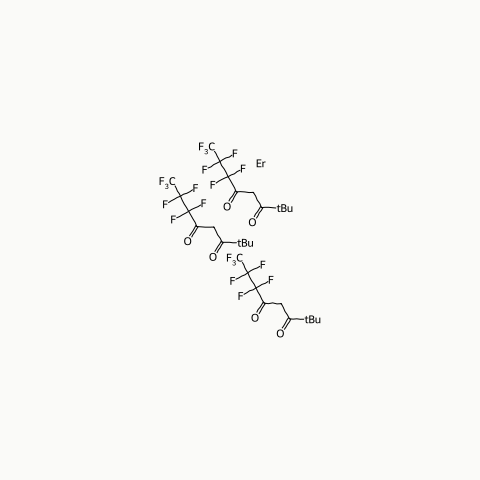 CC(C)(C)C(=O)CC(=O)C(F)(F)C(F)(F)C(F)(F)F.CC(C)(C)C(=O)CC(=O)C(F)(F)C(F)(F)C(F)(F)F.CC(C)(C)C(=O)CC(=O)C(F)(F)C(F)(F)C(F)(F)F.[Er]